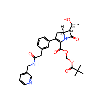 C[C@@H](O)[C@H]1C(=O)N2C(C(=O)OCOC(=O)C(C)(C)C)=C(c3cccc(CC(=O)NCc4cccnc4)c3)C[C@H]12